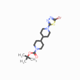 CC(C)(C)OC(=O)N1CCC(C2CCN(c3nnc(Br)s3)CC2)CC1